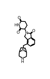 O=C1CCC(N2Cc3c(CN4C5CCC4CNC5)cccc3C2=O)C(=O)N1